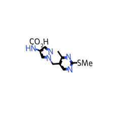 CSc1ncc(Cn2cc(NC(=O)O)cn2)c(C)n1